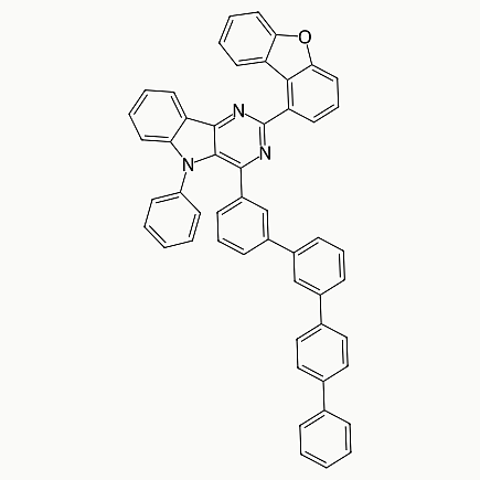 c1ccc(-c2ccc(-c3cccc(-c4cccc(-c5nc(-c6cccc7oc8ccccc8c67)nc6c7ccccc7n(-c7ccccc7)c56)c4)c3)cc2)cc1